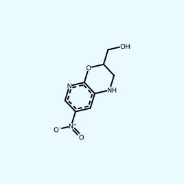 O=[N+]([O-])c1cnc2c(c1)NCC(CO)O2